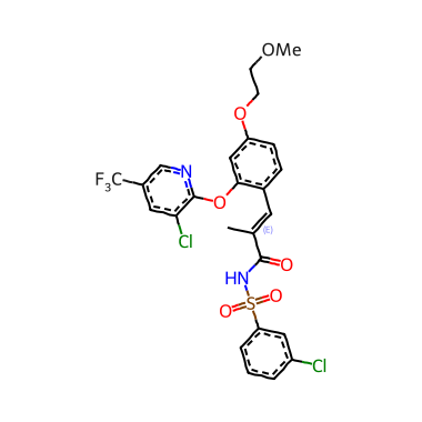 COCCOc1ccc(/C=C(\C)C(=O)NS(=O)(=O)c2cccc(Cl)c2)c(Oc2ncc(C(F)(F)F)cc2Cl)c1